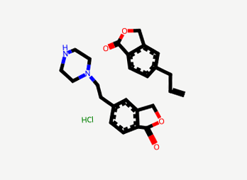 C=CCc1ccc2c(c1)COC2=O.Cl.O=C1OCc2cc(CCN3CCNCC3)ccc21